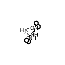 O=C(CCNC(=S)NC12CCCC(CCC1)C2)N1CCCC2CCCC=C21.[CH2]